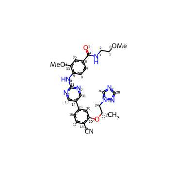 COCCNC(=O)c1ccc(Nc2ncc(-c3ccc(C#N)c(O[C@@H](C)Cn4cncn4)c3)cn2)c(OC)c1